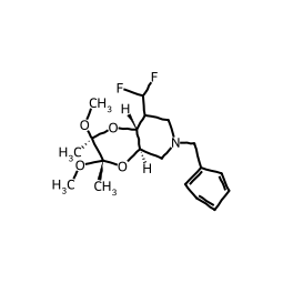 CO[C@@]1(C)O[C@@H]2C(C(F)F)CN(Cc3ccccc3)C[C@H]2O[C@]1(C)OC